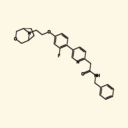 O=C(Cc1ccc(-c2ccc(OCCN3C4CCC3COC4)cc2F)cn1)NCc1ccccc1